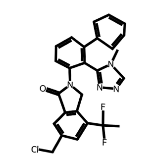 Cn1cnnc1-c1c(-c2ccccc2)cccc1N1Cc2c(cc(CCl)cc2C(C)(F)F)C1=O